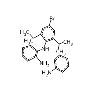 CC(C)c1cc(Br)cc(C(C)C)c1Nc1ccccc1N.Nc1ccccc1